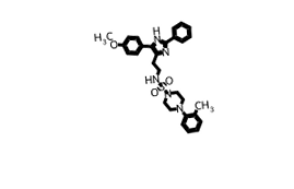 COc1ccc(-c2[nH]c(-c3ccccc3)nc2CCNS(=O)(=O)N2CCN(c3ccccc3C)CC2)cc1